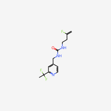 C=C(F)CCNC(=O)NCc1ccnc(C(C)(F)F)c1